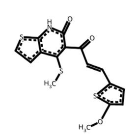 COc1ccc(C=CC(=O)c2c(SC)c3ccsc3[nH]c2=O)s1